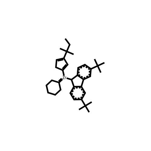 CCC(C)(C)C1=CC[C]([Zr](=[C]2CCCCC2)[CH]2c3ccc(C(C)(C)C)cc3-c3cc(C(C)(C)C)ccc32)=C1